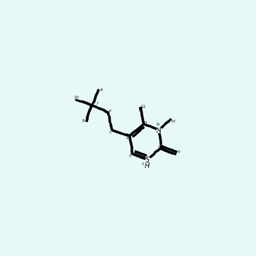 C=C1[SH]=CC(CCC(C)(C)C)=C(C)N1C